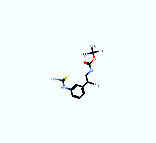 CC(CNC(=O)OC(C)(C)C)c1cccc(NC(N)=S)c1